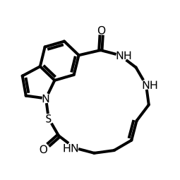 O=C1NCC/C=C/CNCNC(=O)c2ccc3ccn(c3c2)S1